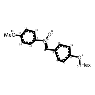 CCCCCCOc1ccc(C=[N+]([O-])c2ccc(OC)cc2)cc1